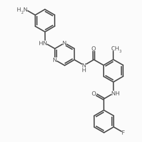 Cc1ccc(NC(=O)c2cccc(F)c2)cc1C(=O)Nc1cnc(Nc2cccc(N)c2)nc1